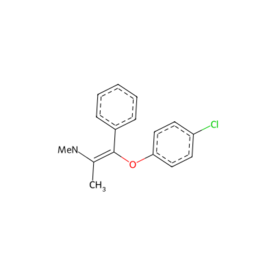 CNC(C)=C(Oc1ccc(Cl)cc1)c1ccccc1